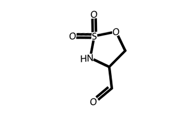 O=CC1COS(=O)(=O)N1